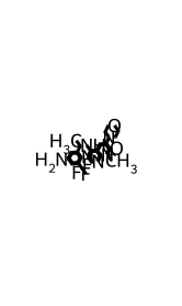 CC(Nc1ncnc2c1cc(N1CCOCC1)c(=O)n2C)c1cc(N)cc(C(F)(F)F)c1